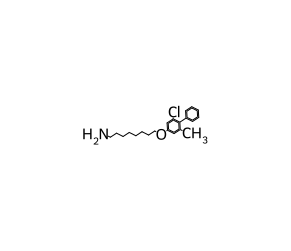 Cc1cc(OCCCCCCCCN)cc(Cl)c1-c1ccccc1